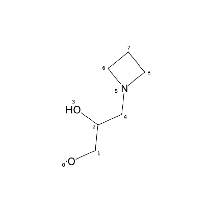 [O]CC(O)CN1CCC1